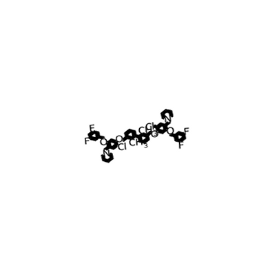 Cc1c(COc2cc(OCc3cc(F)cc(F)c3)c(CN3CCCCC3)cc2Cl)cccc1-c1cccc(COc2cc(OCc3cc(F)cc(F)c3)c(CN3CCCCC3)cc2Cl)c1C